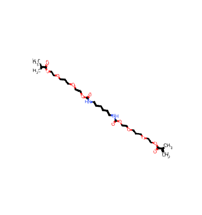 C=C(C)C(=O)OCCOCCCOCCOC(=O)NCCCCCCNC(=O)OCCOCCCOCCOC(=O)C(=C)C